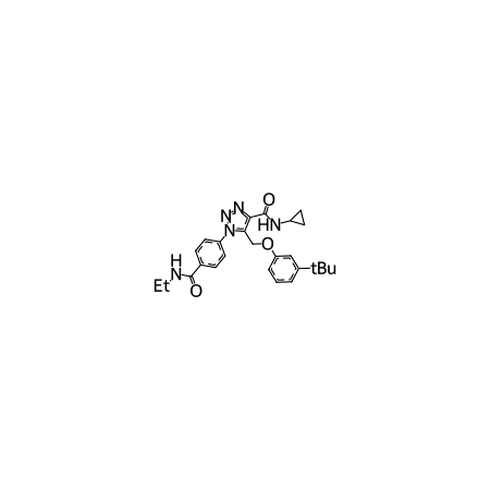 CCNC(=O)c1ccc(-n2nnc(C(=O)NC3CC3)c2COc2cccc(C(C)(C)C)c2)cc1